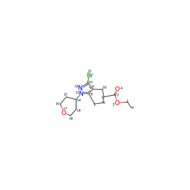 CCOC(=O)C1CCc2c(c(Br)nn2C2CCOCC2)C1